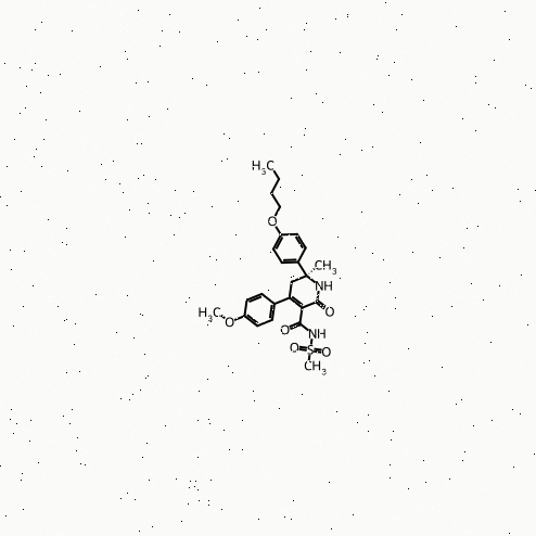 CCCCOc1ccc([C@]2(C)CC(c3ccc(OC)cc3)=C(C(=O)NS(C)(=O)=O)C(=O)N2)cc1